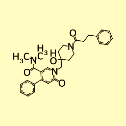 CN(C)C(=O)c1cn(CC2(O)CCN(C(=O)CCc3ccccc3)CC2)c(=O)cc1-c1ccccc1